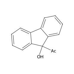 CC(=O)C1(O)c2ccccc2-c2ccccc21